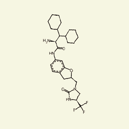 N[C@H](C(=O)Nc1ccc2c(c1)OC(CN1C[C@@H](C(F)(F)F)NC1=O)C2)C(C1CCCCC1)C1CCCCC1